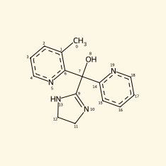 Cc1cccnc1C(O)(C1=NCCN1)c1ccccn1